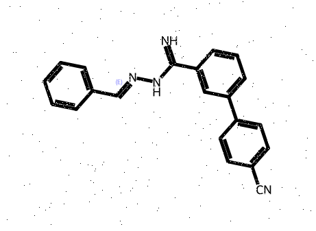 N#Cc1ccc(-c2cccc(C(=N)N/N=C/c3ccccc3)c2)cc1